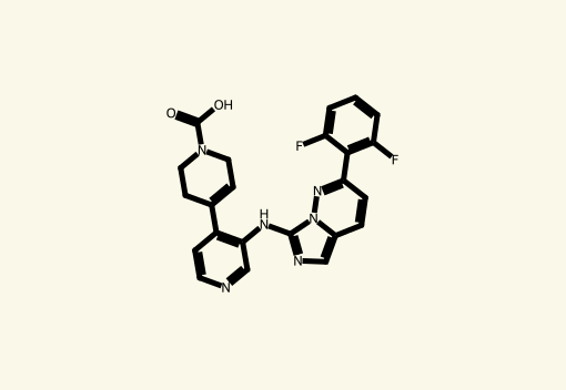 O=C(O)N1CC=C(c2ccncc2Nc2ncc3ccc(-c4c(F)cccc4F)nn23)CC1